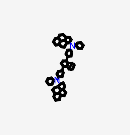 C1=CC2CCC1c1c(-c3ccc(N(c4ccccc4)c4ccc5ccc6cccc7ccc4c5c67)cc3)ccc(-c3ccc(N(c4ccccc4)c4ccc5ccc6cccc7ccc4c5c67)cc3)c12